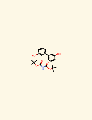 CC(C)(C)OC(=O)NC(=O)OC(C)(C)C.Oc1cccc(-c2cccc(O)c2)c1